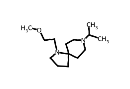 COCCN1CCCC12CCN(C(C)C)CC2